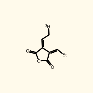 [2H]CC=C1C(=O)OC(=O)C1=CCC